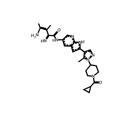 C/C(N)=C(\C)C(=N)C(=O)Nc1cnc2[nH]c(-c3cnn(C4CCN(C(=O)C5CC5)CC4)c3C)cc2c1